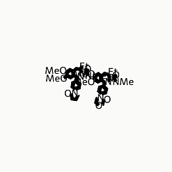 CCC1Cc2cc(OC)c(OC)cc2C(c2ccc(N3CCCC3=O)cc2)=NN1C(=O)NC.CCC1Cc2cc(OC)c(OC)cc2C(c2ccc(N3CCOCC3=O)cc2)=NN1C(=O)NC